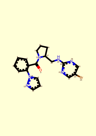 O=C(c1ccccc1-n1cccn1)N1CCCC1CNc1ncc(Br)cn1